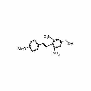 COc1ccc(C=Cc2c([N+](=O)[O-])cc(CO)cc2[N+](=O)[O-])cc1